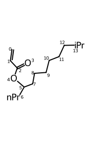 C=CC(=O)OC(CCC)CCCCCCC(C)C